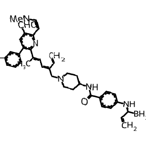 BC(C=C)Nc1ccc(C(=O)NC2CCN(C/C(C=C)=C/C=C(\C)c3nc(/C=C\NC)c(C=O)cc3-c3ccccc3)CC2)cc1